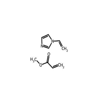 C=CC(=O)OC.C=Cn1ccnc1